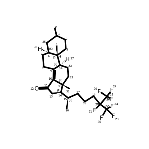 CC1CC[C@@]2(C)[C@@H](CCC3=C4C(=O)C[C@H]([C@H](C)CCCC(F)(C(F)(F)F)C(F)(F)F)[C@@]4(C)CC[C@@H]32)C1